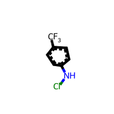 FC(F)(F)c1ccc(NCl)cc1